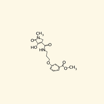 COC(=O)c1cccc(OCCCNC(=O)C2=C(O)C(=O)N(C)C2)c1